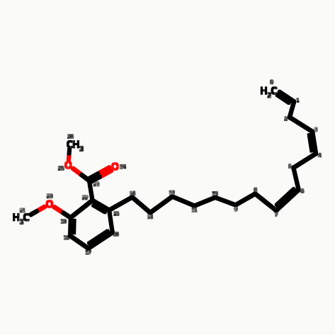 C=CC/C=C\C/C=C\CCCCCCCc1cccc(OC)c1C(=O)OC